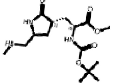 CBCC1C[C@@H](C[C@H](NC(=O)OC(C)(C)C)C(=O)OC)C(=O)N1